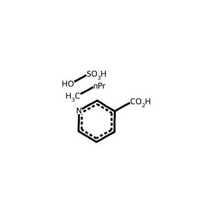 CCCC.O=C(O)c1cccnc1.O=S(=O)(O)O